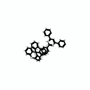 c1ccc(-c2cc(-c3ccccc3)nc(-c3ccc(-c4cccc5c4C4(c6ccccc6O5)c5ccccc5-c5ccccc54)cc3)n2)cc1